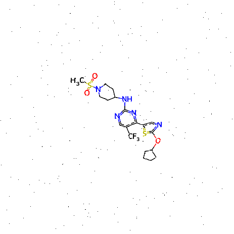 CS(=O)(=O)N1CCC(Nc2ncc(C(F)(F)F)c(-c3cnc(OC4CCCC4)s3)n2)CC1